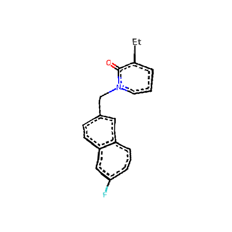 [CH2]Cc1cccn(Cc2ccc3cc(F)ccc3c2)c1=O